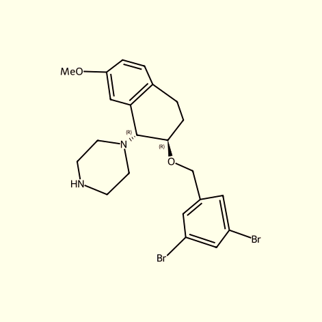 COc1ccc2c(c1)[C@@H](N1CCNCC1)[C@H](OCc1cc(Br)cc(Br)c1)CC2